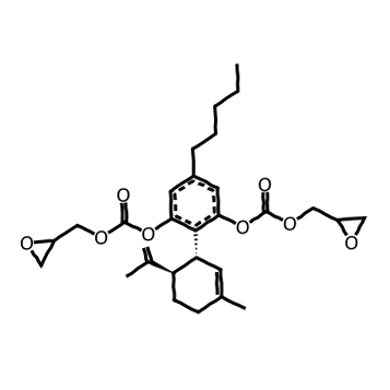 C=C(C)[C@@H]1CCC(C)=C[C@H]1c1c(OC(=O)OCC2CO2)cc(CCCCC)cc1OC(=O)OCC1CO1